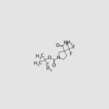 CC(C)(C)OC(=O)N1CCC(C(N)=O)(C(F)(F)F)C1